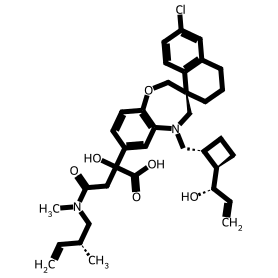 C=C[C@@H](C)CN(C)C(=O)CC(O)(C(=O)O)c1ccc2c(c1)N(C[C@@H]1CC[C@H]1[C@@H](O)C=C)C[C@@]1(CCCc3cc(Cl)ccc31)CO2